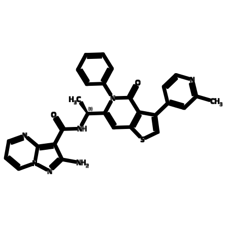 Cc1cc(-c2csc3cc([C@H](C)NC(=O)c4c(N)nn5cccnc45)n(-c4ccccc4)c(=O)c23)ccn1